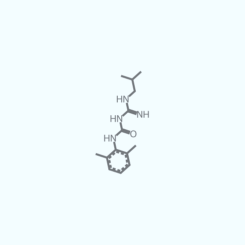 Cc1cccc(C)c1NC(=O)NC(=N)NCC(C)C